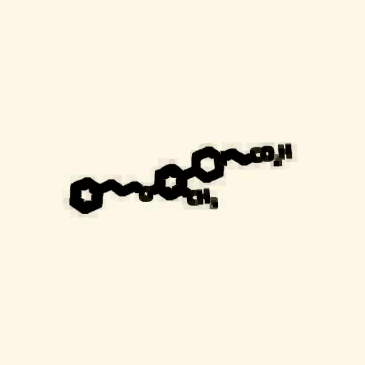 Cc1cc(OCCCc2ccccc2)ccc1C1CCN(CCC(=O)O)CC1